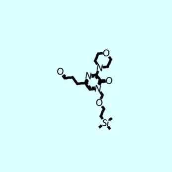 C[Si](C)(C)CCOCn1cc(CCC=O)nc(N2CCOCC2)c1=O